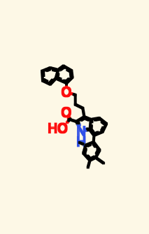 Cc1cc(C)c(-c2cccc3c(CCCOc4cccc5ccccc45)c(C(=O)O)[nH]c23)cc1C